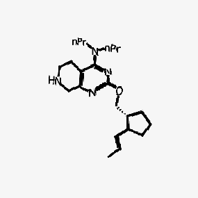 C/C=C/C1CCC[C@H]1COc1nc2c(c(N(CCC)CCC)n1)CCNC2